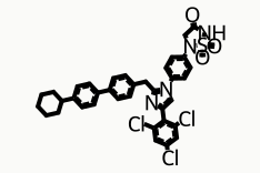 O=C1CN(c2ccc(-n3cc(-c4c(Cl)cc(Cl)cc4Cl)nc3Cc3ccc(-c4ccc(C5CCCCC5)cc4)cc3)cc2)S(=O)(=O)N1